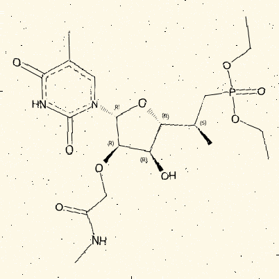 CCOP(=O)(C[C@@H](C)[C@H]1O[C@@H](n2cc(C)c(=O)[nH]c2=O)[C@H](OCC(=O)NC)[C@@H]1O)OCC